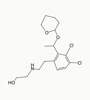 CC(OC1CCCCO1)c1c(CCNCCO)ccc(Cl)c1Cl